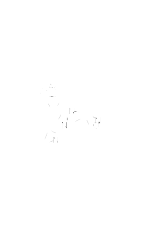 CC(=O)C1(c2ccc(-c3cn(Cc4ccccn4)c4cc(-c5c(C)noc5C)cnc34)cc2)CC1